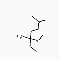 COC([SiH3])(CCN(C)C)OC